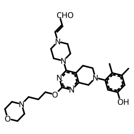 Cc1cc(O)cc(N2CCc3c(nc(OCCCN4CCOCC4)nc3N3CCN(C=CC=O)CC3)C2)c1C